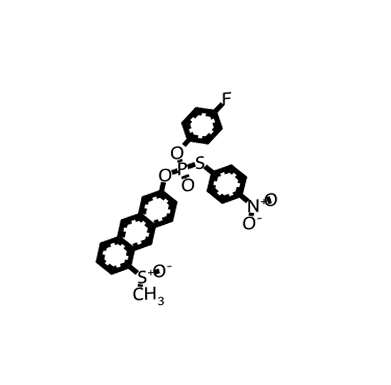 C[S+]([O-])c1cccc2cc3cc(OP(=O)(Oc4ccc(F)cc4)Sc4ccc([N+](=O)[O-])cc4)ccc3cc12